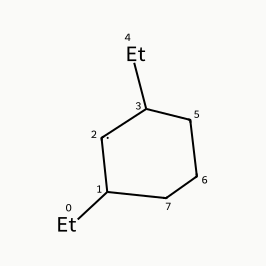 CCC1[CH]C(CC)CCC1